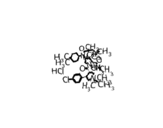 CNC(=O)[C@@H]1C[C@H](N(C(=O)C(C)(C)CN(C)C)C2CCC(C)(C)CC2)C[N+]1(C)C(=O)[C@@H]1CN(C(C)(C)C)C[C@H]1c1ccc(Cl)cc1.Cl